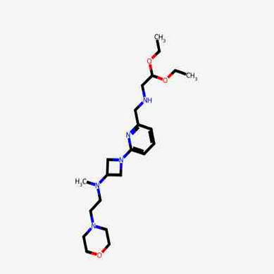 CCOC(CNCc1cccc(N2CC(N(C)CCN3CCOCC3)C2)n1)OCC